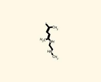 CNCCN/C(C)=C/C=C(\C)I